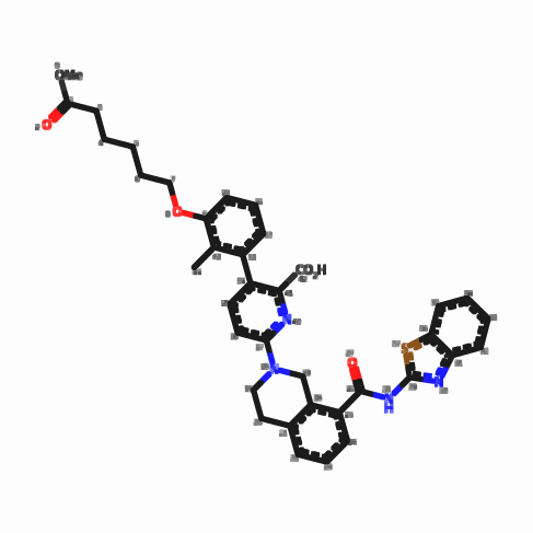 COC(=O)CCCCCOc1cccc(-c2ccc(N3CCc4cccc(C(=O)Nc5nc6ccccc6s5)c4C3)nc2C(=O)O)c1C